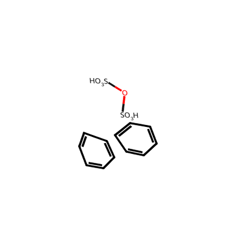 O=S(=O)(O)OS(=O)(=O)O.c1ccccc1.c1ccccc1